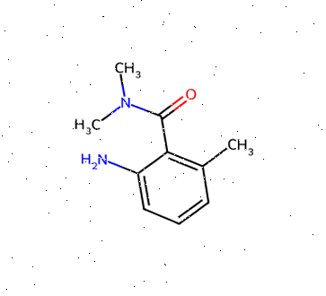 Cc1cccc(N)c1C(=O)N(C)C